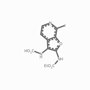 CCOC(=O)Nc1oc2c(I)nccc2c1NC(=O)O